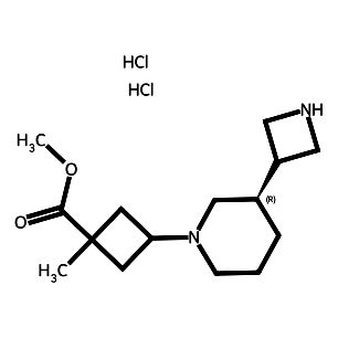 COC(=O)C1(C)CC(N2CCC[C@H](C3CNC3)C2)C1.Cl.Cl